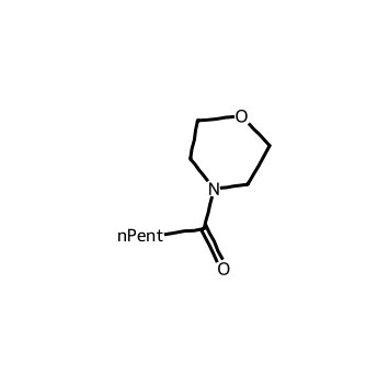 CCCCCC(=O)N1CCOCC1